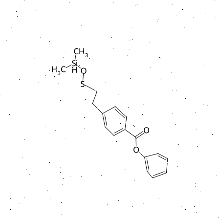 C[SiH](C)OSCCc1ccc(C(=O)Oc2ccccc2)cc1